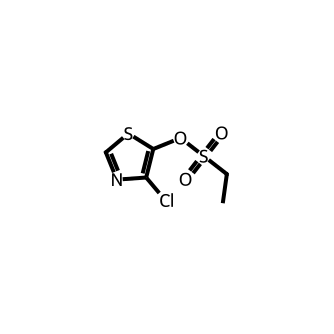 CCS(=O)(=O)Oc1scnc1Cl